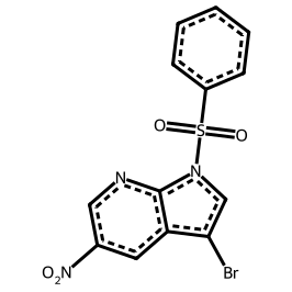 O=[N+]([O-])c1cnc2c(c1)c(Br)cn2S(=O)(=O)c1ccccc1